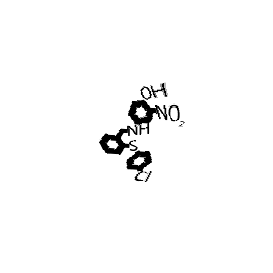 O=[N+]([O-])c1cc(NCc2ccccc2Sc2ccc(Cl)cc2)ccc1O